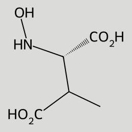 CC(C(=O)O)[C@H](NO)C(=O)O